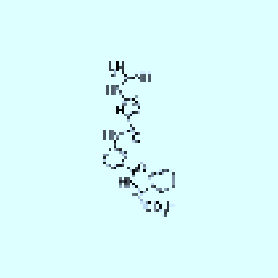 N=C(N)Nc1nc(C(=O)Nc2cccc(C(=O)N[C@@H](CC(=O)O)c3ccccc3)c2)cs1